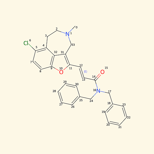 CN1CCc2c(Cl)ccc3oc(/C=C/C(=O)N(Cc4ccccc4)Cc4ccccc4)c(c23)C1